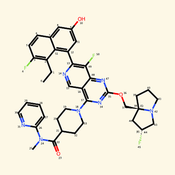 CCc1c(F)ccc2cc(O)cc(-c3ncc4c(N5CCC(C(=O)N(C)c6ccccn6)CC5)nc(OC[C@@]56CCCN5C[C@H](F)C6)nc4c3F)c12